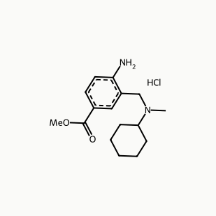 COC(=O)c1ccc(N)c(CN(C)C2CCCCC2)c1.Cl